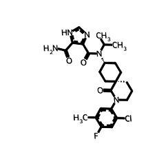 Cc1cc(N2CCC[C@]3(CC[C@@H](N(C(=O)c4nc[nH]c4C(N)=O)C(C)C)CC3)C2=O)c(Cl)cc1F